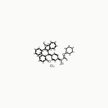 CC[N+](=C1C=CC(=C(c2ccccc2Cl)c2c(-c3ccccc3)n(C)c3ccccc23)C=C1)C(C)ON1CCCCC1.[Cl-]